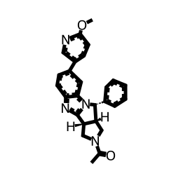 COc1ccc(-c2ccc3nc4n(c3c2)[C@H](c2ccccc2)[C@@H]2CN(C(C)=O)C[C@H]42)cn1